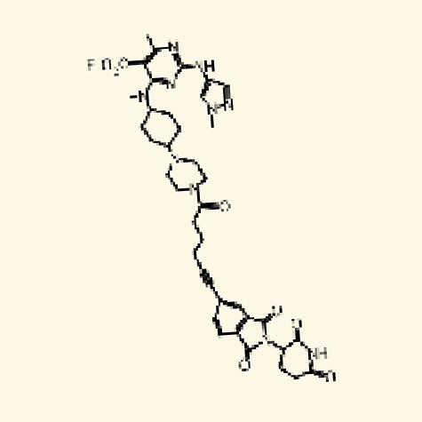 CCOC(=O)c1c(C)nc(Nc2cnn(C)c2)nc1NC1CCC(N2CCN(C(=O)CCCC#Cc3ccc4c(c3)C(=O)N(C3CCC(=O)NC3=O)C4=O)CC2)CC1